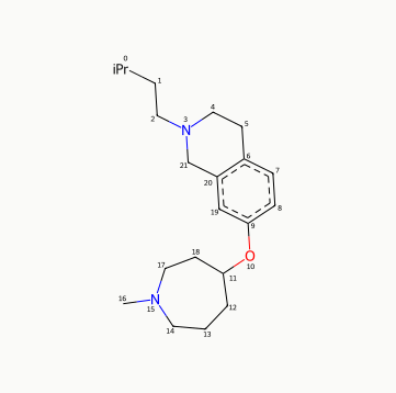 CC(C)CCN1CCc2ccc(OC3CCCN(C)CC3)cc2C1